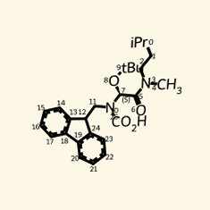 CC(C)CCN(C)C(=O)[C@H](OC(C)(C)C)N(CC1c2ccccc2-c2ccccc21)C(=O)O